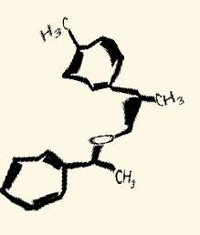 CC(=COC(C)c1ccccc1)c1ccc(C)cc1